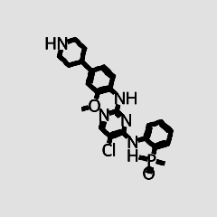 COc1cc(C2CCNCC2)ccc1Nc1ncc(Cl)c(Nc2ccccc2P(C)(C)=O)n1